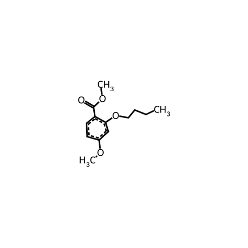 CCCCOc1cc(OC)ccc1C(=O)OC